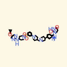 Cn1nc(N2CCC(=O)NC2=O)c2ccc(C3CCN(CC4CCN(c5cccc(S(=O)(=O)N6CCC(Nc7ncc(OC8CC8)cn7)CC6)c5)CC4)CC3)cc21